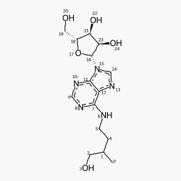 CC(CO)CCNc1ncnc2c1ncn2[C@@H]1O[C@H](CO)[C@@H](O)[C@H]1O